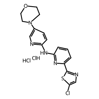 Cl.Cl.Clc1cnc(-c2cccc(Nc3ccc(N4CCOCC4)cn3)n2)s1